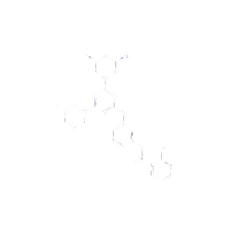 N[C@@H]1C[C@H](N)CN(c2nc(Nc3cccc(NC(=O)c4cccc(O)c4O)c3)nc(N3C[C@H](N)C[C@H](N)C3)n2)C1